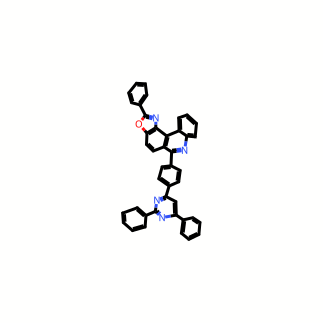 c1ccc(-c2cc(-c3ccc(-c4nc5ccccc5c5c4ccc4oc(-c6ccccc6)nc45)cc3)nc(-c3ccccc3)n2)cc1